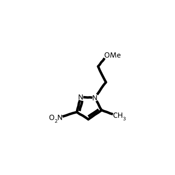 COCCn1nc([N+](=O)[O-])cc1C